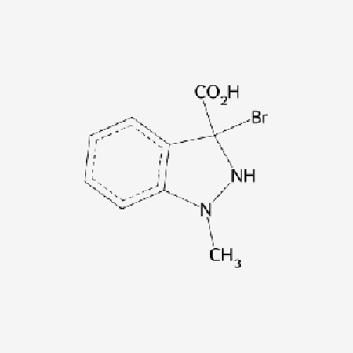 CN1NC(Br)(C(=O)O)c2ccccc21